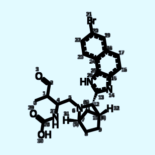 CC(C=O)C(CN1[C@H]2CC[C@H](C2)[C@H]1c1nc2ccc3cc(Br)ccc3c2[nH]1)NC(=O)O